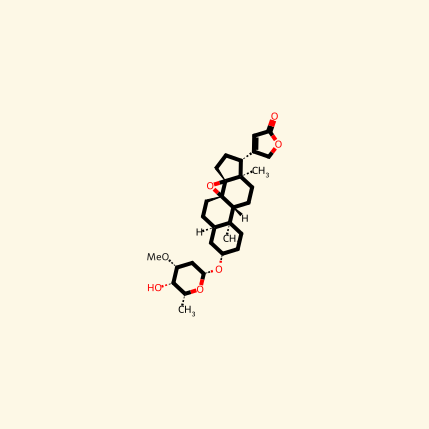 CO[C@@H]1C[C@H](O[C@H]2CC[C@@]3(C)[C@H](CC[C@@]45O[C@@]46CC[C@H](C4=CC(=O)OC4)[C@@]6(C)CC[C@H]35)C2)O[C@H](C)[C@@H]1O